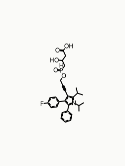 CC(C)c1c(C#CCO[PH](=O)CC(O)CC(=O)O)c(-c2ccc(F)cc2)c(-c2ccccc2)n1C(C)C